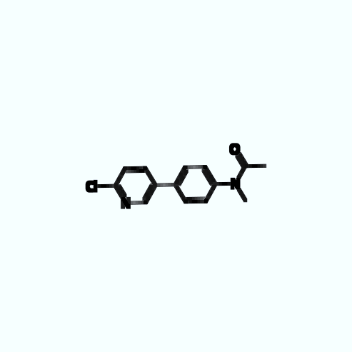 CC(=O)N(C)c1ccc(-c2ccc(Cl)nc2)cc1